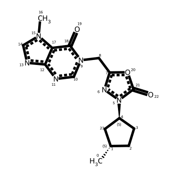 C[C@H]1CC[C@H](n2nc(Cn3cnc4ncn(C)c4c3=O)oc2=O)C1